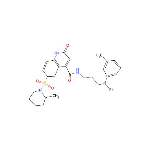 CCN(CCCNC(=O)c1cc(=O)[nH]c2ccc(S(=O)(=O)N3CCCCC3C)cc12)c1cccc(C)c1